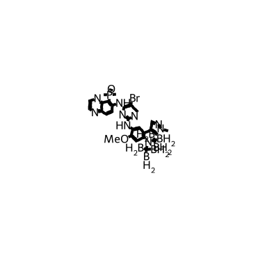 BC(B)(B)N(c1cc(OC)c(Nc2ncc(Br)c(Nc3ccc4nccnc4c3P(C)(C)=O)n2)cc1-c1cnn(C)c1)C(B)(B)B